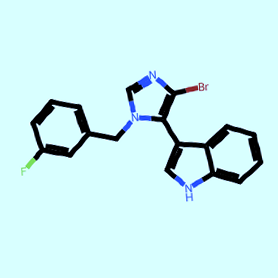 Fc1cccc(Cn2cnc(Br)c2-c2c[nH]c3ccccc23)c1